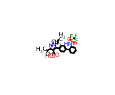 CCC[N+]1(C)N=C(C(C)C)C(C(=O)O)=C1c1ccc(-c2ccccc2NS(=O)(=O)C(F)(F)F)cc1